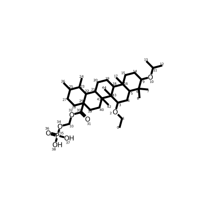 CCOC1CC2C(C)(C)C(OC(C)C)CCC2(C)C2CCC3C4C(C)C(C)CCC4(C(=O)OCOP(=O)(O)O)CCC3(C)C12C